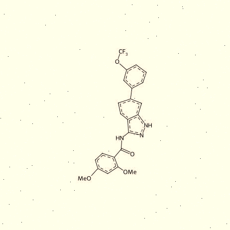 COc1ccc(C(=O)Nc2n[nH]c3cc(-c4cccc(OC(F)(F)F)c4)ccc23)c(OC)c1